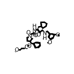 COCCCCOC(c1ccccc1)C1CCN(C(=O)C(=O)N[C@@H](CC2CCCCC2)[C@@H](O)CNCc2cc(OC)cc(OC)c2)C1